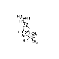 CC(O)C(C)C1C(C)C(CN2CC(NC(=N)N)C2)=C(C(=O)O)N1C=O